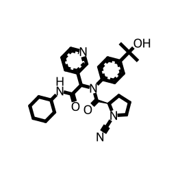 CC(C)(O)c1ccc(N(C(=O)[C@H]2CCCN2C#N)C(C(=O)NC2CCCCC2)c2cccnc2)cc1